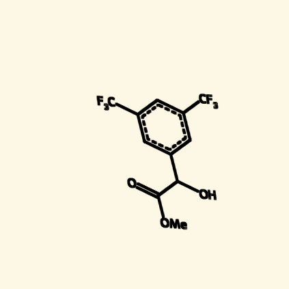 COC(=O)C(O)c1cc(C(F)(F)F)cc(C(F)(F)F)c1